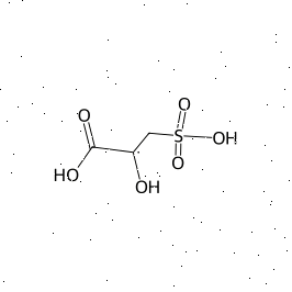 O=C(O)[C](O)CS(=O)(=O)O